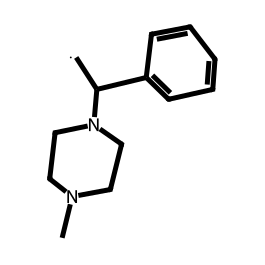 [CH2]C(c1ccccc1)N1CCN(C)CC1